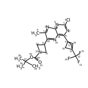 Cc1nc2nc(Cl)nc(C34CC(C(F)(F)F)(C3)C4)c2nc1C1CN(C(=O)OC(C)(C)C)C1